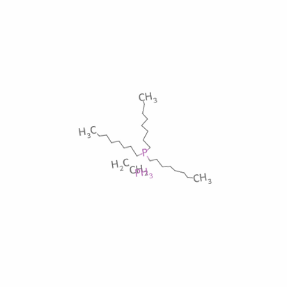 C=C.CCCCCCCCP(CCCCCCCC)CCCCCCCC.P